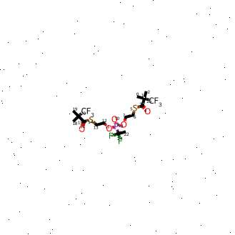 CC(C)(C(=O)SCCOP(=O)(OCCSC(=O)C(C)(C)C(F)(F)F)C(C)(F)F)C(F)(F)F